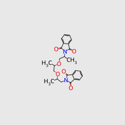 CC(COC(C)CN1C(=O)c2ccccc2C1=O)OCC(C)N1C(=O)c2ccccc2C1=O